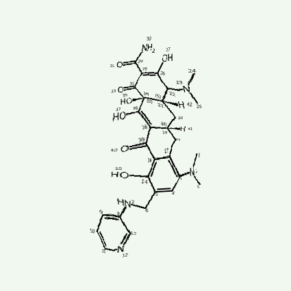 CN(C)c1cc(CNc2cccnc2)c(O)c2c1C[C@H]1C[C@H]3C(N(C)C)C(O)=C(C(N)=O)C(=O)[C@@]3(O)C(O)=C1C2=O